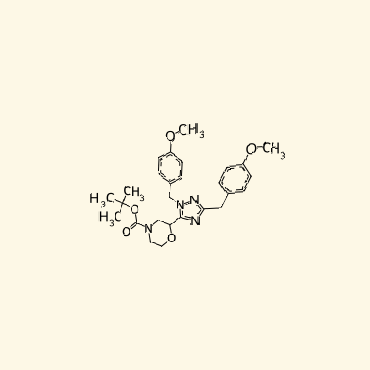 COc1ccc(Cc2nc(C3CN(C(=O)OC(C)(C)C)CCO3)n(Cc3ccc(OC)cc3)n2)cc1